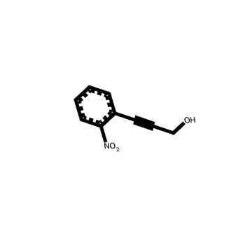 O=[N+]([O-])c1ccccc1C#CCO